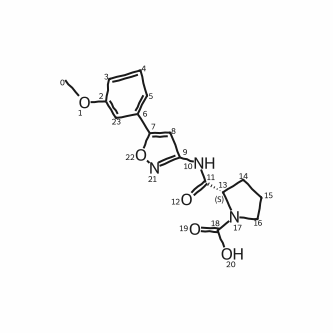 COc1cccc(-c2cc(NC(=O)[C@@H]3CCCN3C(=O)O)no2)c1